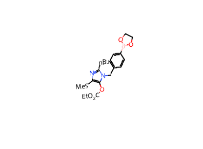 CCCCc1nc(SC)c(OC(=O)OCC)n1Cc1ccc(B2OCCO2)cc1